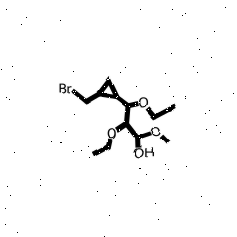 CCOC(C(O)OC)C(OCC)C1CC1CBr